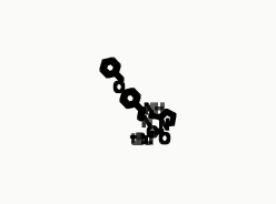 CC(C)(C)OC(=O)N1CCCC1c1ncc(-c2ccc(OCc3ccccc3)cc2)[nH]1